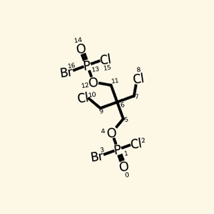 O=P(Cl)(Br)OCC(CCl)(CCl)COP(=O)(Cl)Br